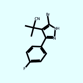 CC(C)(C#N)c1c(-c2ccc(F)cc2)n[nH]c1Br